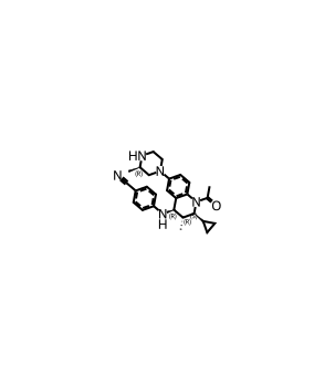 CC(=O)N1c2ccc(N3CCN[C@H](C)C3)cc2[C@H](Nc2ccc(C#N)cc2)[C@@H](C)[C@@H]1C1CC1